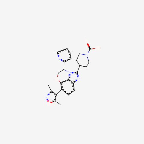 Cc1noc(C)c1-c1ccc2nc(C3CCN(C(=O)O)CC3)n3c2c1OC[C@@H]3c1ccccn1